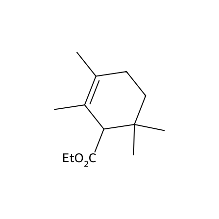 CCOC(=O)C1C(C)=C(C)CCC1(C)C